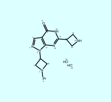 CC(C)N1CC(n2ncc3c(=O)[nH]c(C4CNC4)nc32)C1.Cl.Cl